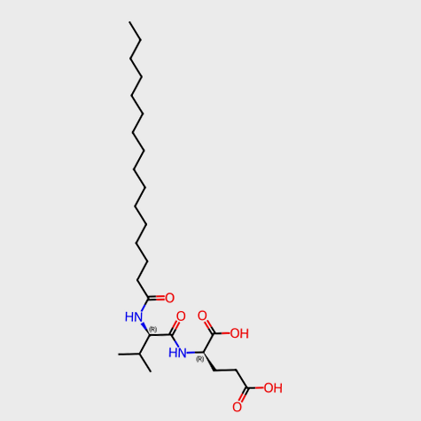 CCCCCCCCCCCCCCCC(=O)N[C@@H](C(=O)N[C@H](CCC(=O)O)C(=O)O)C(C)C